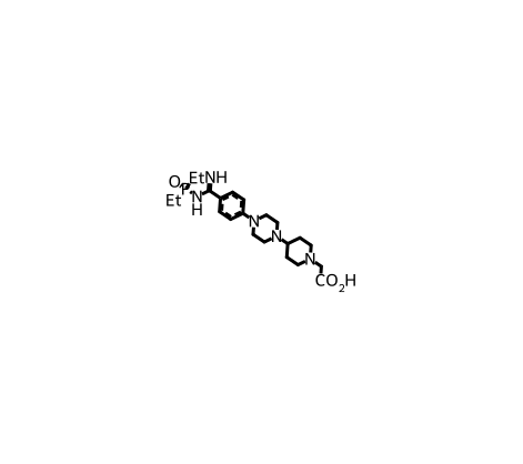 CCP(=O)(CC)NC(=N)c1ccc(N2CCN(C3CCN(CC(=O)O)CC3)CC2)cc1